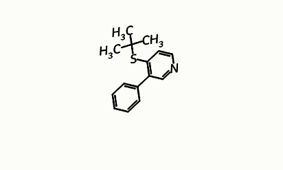 CC(C)(C)Sc1ccncc1-c1ccccc1